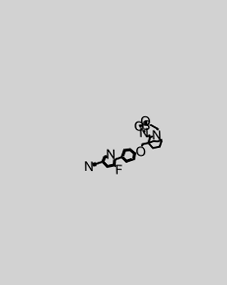 N#Cc1cnc(-c2ccc(OCC34CCC(CC3)N3CCS(=O)(=O)N=C34)cc2)c(F)c1